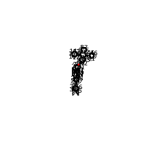 c1ccc(-c2c3ccccc3c(-c3ccccc3)c3cc(-c4ccc5nn(-c6ccc(-c7ccncc7)cc6)nc5c4)ccc23)cc1